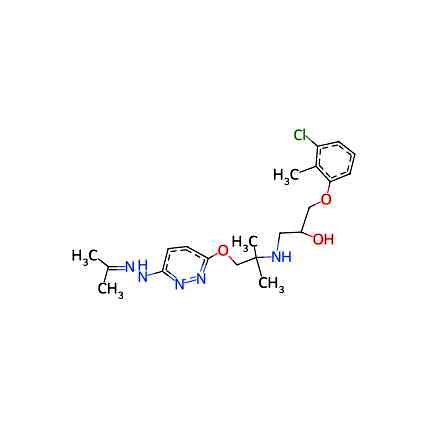 CC(C)=NNc1ccc(OCC(C)(C)NCC(O)COc2cccc(Cl)c2C)nn1